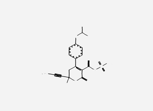 CCCCCCC#CC1(C(F)(F)F)CC(c2ccc(OC(F)F)cc2)=C(C(=O)NS(C)(=O)=O)C(=O)N1